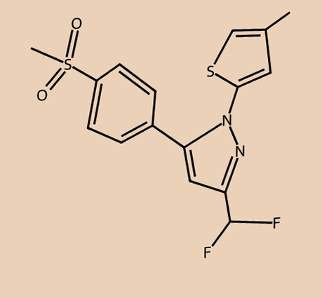 Cc1csc(-n2nc(C(F)F)cc2-c2ccc(S(C)(=O)=O)cc2)c1